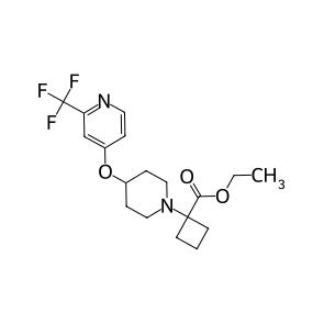 CCOC(=O)C1(N2CCC(Oc3ccnc(C(F)(F)F)c3)CC2)CCC1